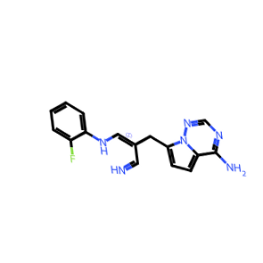 N=C/C(=C\Nc1ccccc1F)Cc1ccc2c(N)ncnn12